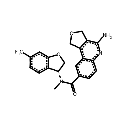 CN(C(=O)c1ccc2nc(N)c3c(c2c1)COC3)[C@H]1COc2cc(C(F)(F)F)ccc21